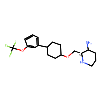 NC1CCCN[C@H]1COC1CCC(c2cccc(OC(F)(F)F)c2)CC1